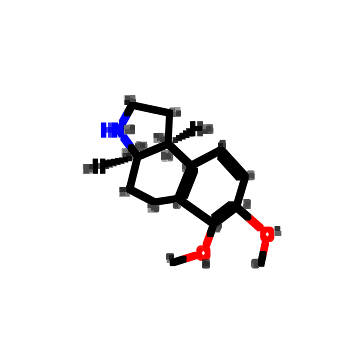 COc1ccc2c(c1OC)CC[C@H]1NCC[C@@H]21